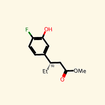 CC[C@@H](CC(=O)OC)c1ccc(F)c(O)c1